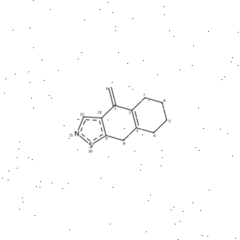 C=C1C2=C(CCCC2)Cc2sncc21